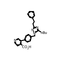 CCCCc1nc(CCc2ccccc2)nn1Cc1ccc(-c2cnccc2C(=O)O)cc1